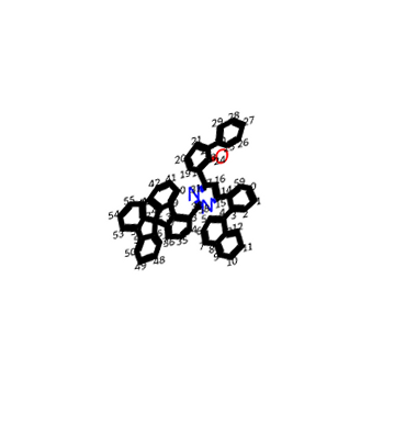 c1ccc(-c2cccc3ccccc23)c(-c2cc(-c3cccc4c3oc3ccccc34)nc(-c3cccc4c3-c3ccccc3C43c4ccccc4-c4ccccc43)n2)c1